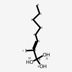 CCCCCC=C(I)C(O)(O)O